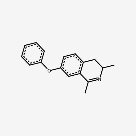 CC1=NC(C)Cc2ccc(Oc3ccccc3)cc21